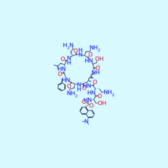 CC(C)C[C@@H]1NC(=O)[C@@H](Cc2ccccc2)NC(=O)[C@H](CCN)NC(=O)[C@@H](NC(=O)[C@H](CCN)NC(=O)[C@@H](NS(=O)(=O)c2cccc3c(N(C)C)cccc23)[C@@H](C)O)CCNC(=O)[C@H]([C@@H](C)O)NC(=O)[C@H](CCN)NC(=O)[C@H](CCN)NC1=O